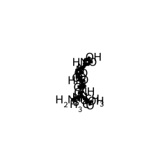 CC(C)(ON=C(C(=O)N[C@H]1CN(C(=O)NS(=O)(=O)N2CCN(N=Cc3cc(=O)c(O)c[nH]3)C2=O)C1=O)c1csc(N)n1)C(=O)O